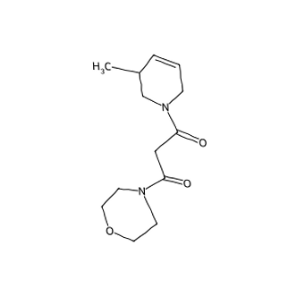 CC1C=CCN(C(=O)CC(=O)N2CCOCC2)C1